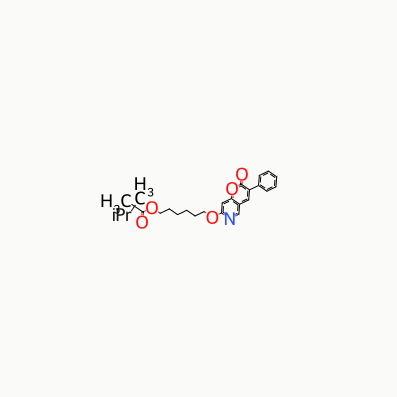 CC(C)C(C)(C)C(=O)OCCCCCCOc1cc2oc(=O)c(-c3ccccc3)cc2cn1